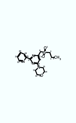 CCCS(=O)(=O)Cc1cc(N2CCOCC2)nc(-c2ccccn2)n1